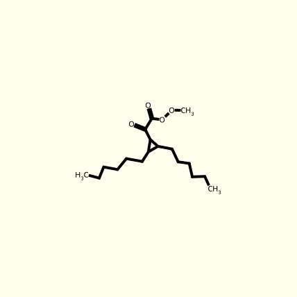 CCCCCCC1C(CCCCCC)C1C(=O)C(=O)OOC